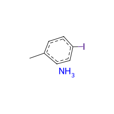 Cc1ccc(I)cc1.N